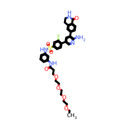 CCOCCOCCOCCOCCC(=O)Nc1cccc(NS(=O)(=O)c2ccc(-c3cnc(N)c(-c4ccc5c(c4)CCNC5=O)c3)c(F)c2)c1